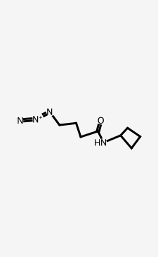 [N-]=[N+]=NCCCC(=O)NC1CCC1